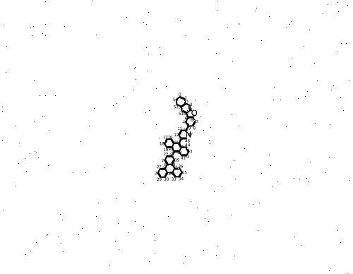 C1=Cc2cc3oc4ccc(-c5ccc(-c6c7ccccc7c(-c7ccc8c9ccccc9c9ccccc9c8c7)c7ccccc67)cn5)cc4c3cc2CC1